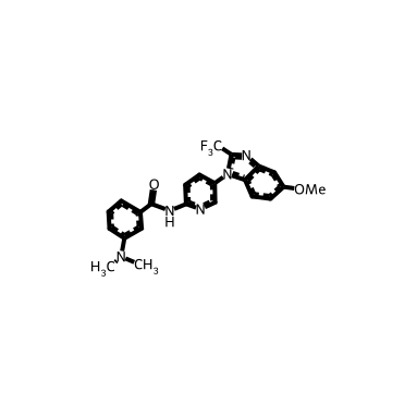 COc1ccc2c(c1)nc(C(F)(F)F)n2-c1ccc(NC(=O)c2cccc(N(C)C)c2)nc1